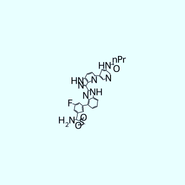 CCCC(=O)Nc1cncc(-c2ccc3[nH]nc(-c4nc5c(-c6cc(F)cc(C(N)S(C)(=O)=O)c6)cccc5[nH]4)c3n2)c1